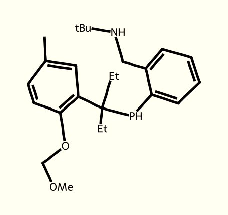 CCC(CC)(Pc1ccccc1CNC(C)(C)C)c1cc(C)ccc1OCOC